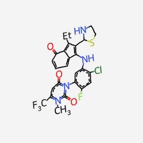 CCC1=C2C(=O)C=CC=C2C(Nc2cc(-n3c(=O)cc(C(F)(F)F)n(C)c3=O)c(F)cc2Cl)=C1C1NCCS1